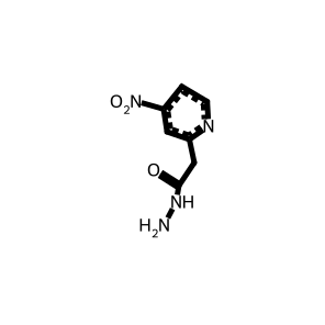 NNC(=O)Cc1cc([N+](=O)[O-])ccn1